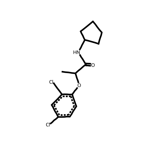 CC(Oc1ccc(Cl)cc1Cl)C(=O)NC1CCCC1